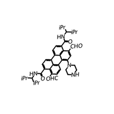 CC(C)C(NC(=O)c1ccc2c3ccc(C(=O)NC(C(C)C)C(C)C)c4c(C=O)cc(N5CCNCC5)c(c5ccc(C=O)c1c25)c43)C(C)C